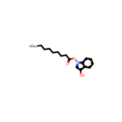 CCCCCCCCCCCCCCCCCC(=O)On1cc(O)c2ccccc21